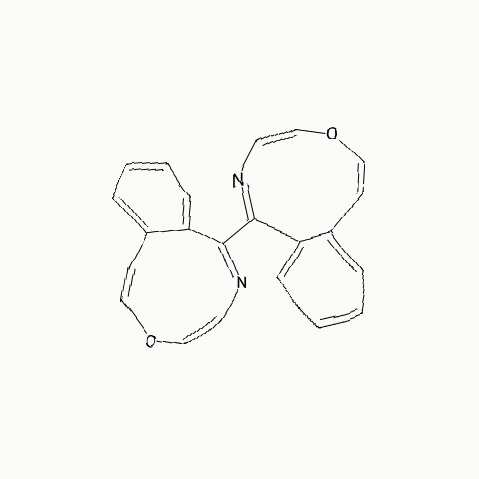 c1ccc2c(-c3nccoccc4ccccc34)nccoccc2c1